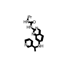 CC(C)NC(=O)Nc1ncc2ccc(NC(C)c3cccnc3)cc2n1